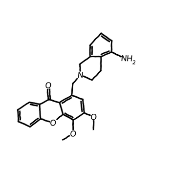 COc1cc(CN2CCc3c(N)cccc3C2)c2c(=O)c3ccccc3oc2c1OC